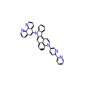 c1cc2cc3c(c4c2c(c#1)N(c1ccc(-c2ccccn2)nc1)C=C4)c1ccccc1n3-c1cc2cccnc2c2ncccc12